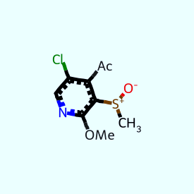 COc1ncc(Cl)c(C(C)=O)c1[S+](C)[O-]